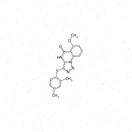 COc1cccc2c1c(=O)[nH]c1c(Sc3ccc(C)cc3C)nnn12